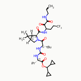 C=CCNC(=O)C(=O)C(CCC(F)(F)F)NC(=O)[C@@H]1[C@@H]2[C@H](CN1C(=O)[C@@H](NC(=O)N[C@H](C(=O)OC(C1CC1)C1CC1)C(C)C)C(C)(C)C)C2(C)C